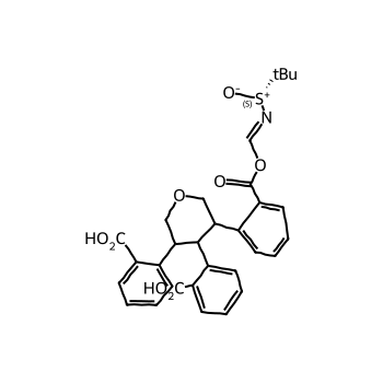 CC(C)(C)[S@@+]([O-])N=COC(=O)c1ccccc1C1COCC(c2ccccc2C(=O)O)C1c1ccccc1C(=O)O